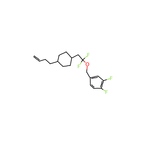 C=CCCC1CCC(CC(F)(F)OCc2ccc(F)c(F)c2)CC1